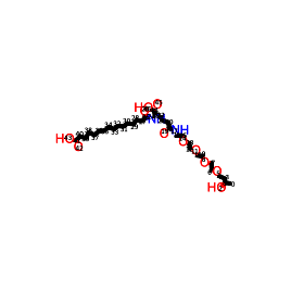 CC(O)CCOCCOCCOCCOCCNC(=O)CCC[C@H](NC(=O)CCCCCCCCCCCCCCC(=O)O)C(=O)O